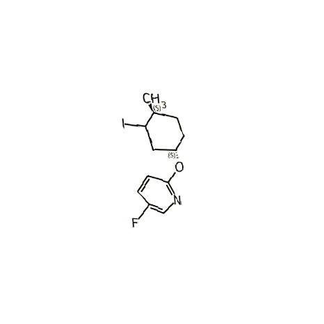 C[C@H]1CC[C@H](Oc2ccc(F)cn2)CC1I